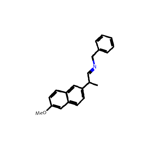 COc1ccc2cc(C(C)C=NCc3ccccc3)ccc2c1